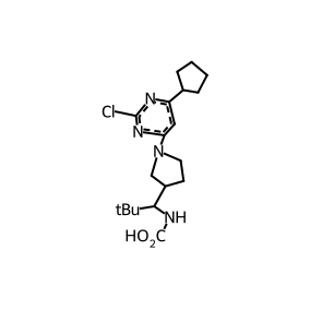 CC(C)(C)C(NC(=O)O)C1CCN(c2cc(C3CCCC3)nc(Cl)n2)C1